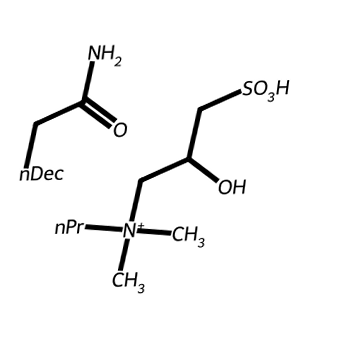 CCCCCCCCCCCC(N)=O.CCC[N+](C)(C)CC(O)CS(=O)(=O)O